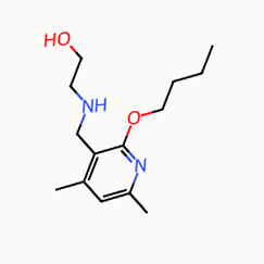 CCCCOc1nc(C)cc(C)c1CNCCO